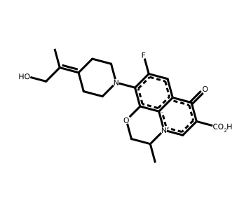 CC(CO)=C1CCN(c2c(F)cc3c(=O)c(C(=O)O)cn4c3c2OCC4C)CC1